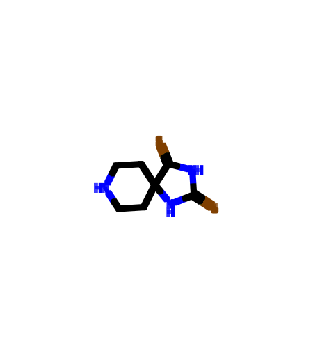 S=C1NC(=S)C2(CCNCC2)N1